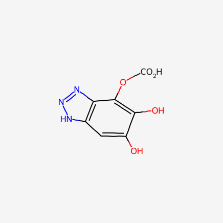 O=C(O)Oc1c(O)c(O)cc2[nH]nnc12